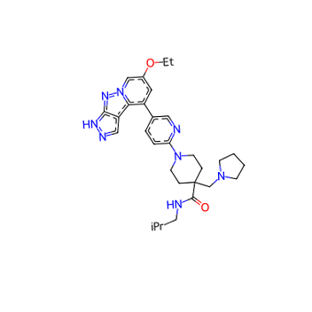 CCOc1cc(-c2ccc(N3CCC(CN4CCCC4)(C(=O)NCC(C)C)CC3)nc2)c2c3cn[nH]c3nn2c1